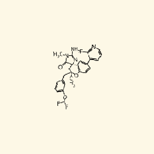 CN1C(=O)C2(C[C@@](C)(Cc3cccc(OC(F)F)c3)Oc3ccc(-c4cccnc4F)cc32)N=C1N